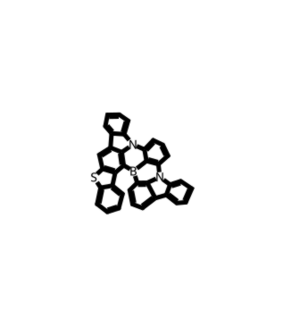 c1cc2c3c(c1)-n1c4ccccc4c4cc5sc6ccccc6c5c(c41)B3c1cccc3c4ccccc4n-2c13